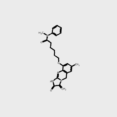 C=c1c(=O)[nH]c2n1Cc1cc(C)cc(OCCCCCC(=O)N(C)c3ccccc3)c1N=2